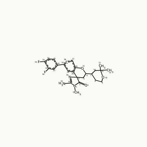 CN1C(=O)C2(CC(C3CCOC(C)(C)C3)Oc3ccc(-c4ccc(F)c(F)c4)cc32)N=C1N